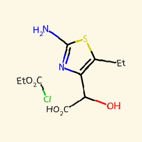 CCOC(=O)Cl.CCc1sc(N)nc1C(O)C(=O)O